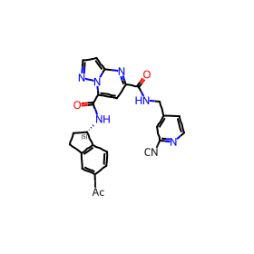 [C-]#[N+]c1cc(CNC(=O)c2cc(C(=O)N[C@H]3CCc4cc(C(C)=O)ccc43)n3nccc3n2)ccn1